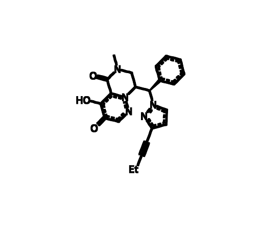 CCC#Cc1ccn([C@H](c2ccccc2)C2CN(C)C(=O)c3c(O)c(=O)cnn32)n1